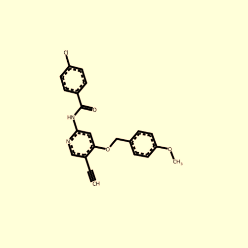 C#Cc1cnc(NC(=O)c2ccc(Cl)cc2)cc1OCc1ccc(OC)cc1